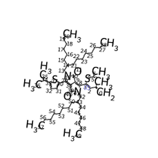 C=C/C=C(\SC(C)C)C1=C2C(=O)N(CC(CCCCCC)CCCCCCCC)C(c3ccc(C(C)C)s3)=C2C(=O)N1CC(CCCCCC)CCCCCCCC